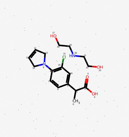 CC(C(=O)O)c1ccc(N2CC=CC2)c(Cl)c1.OCCNCCO